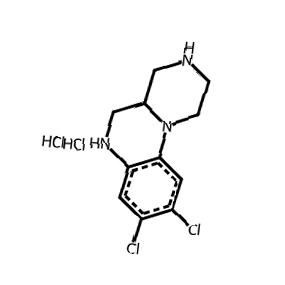 Cl.Cl.Clc1cc2c(cc1Cl)N1CCNCC1CN2